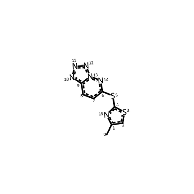 Cc1csc(Sc2ccc3nnnn3n2)n1